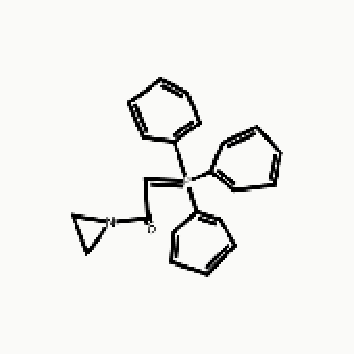 O=C(C=P(c1ccccc1)(c1ccccc1)c1ccccc1)N1CC1